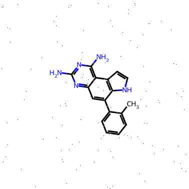 Cc1ccccc1-c1cc2nc(N)nc(N)c2c2cc[nH]c12